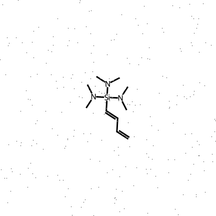 C=CC=C[Si](N(C)C)(N(C)C)N(C)C